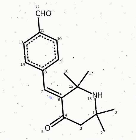 CC1(C)CC(=O)/C(=C/c2ccc(C=O)cc2)C(C)(C)N1